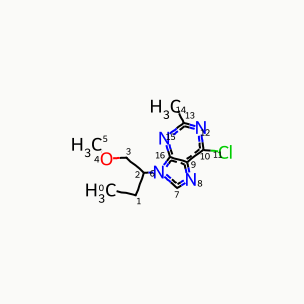 CCC(COC)n1cnc2c(Cl)nc(C)nc21